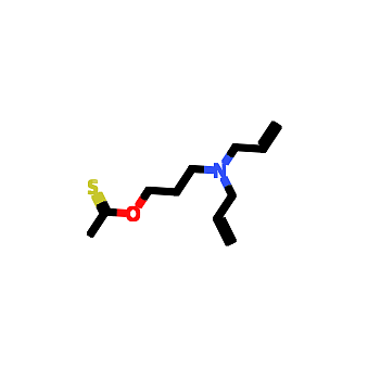 C=CCN(CC=C)CCCOC(C)=S